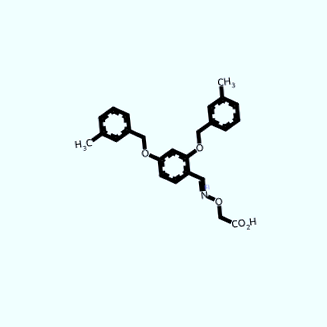 Cc1cccc(COc2ccc(/C=N/OCC(=O)O)c(OCc3cccc(C)c3)c2)c1